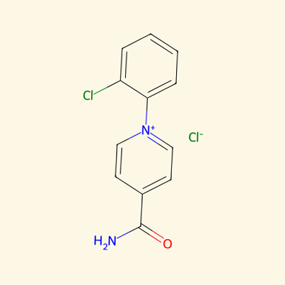 NC(=O)c1cc[n+](-c2ccccc2Cl)cc1.[Cl-]